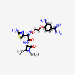 C[C@H]1[C@H](NC(=O)/C(=N\OCCOc2ccc(C(=N)N)cc2N)c2csc(N)n2)C(=O)N1S(=O)(=O)O